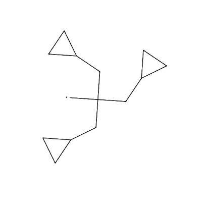 [CH2]C(CC1CC1)(CC1CC1)CC1CC1